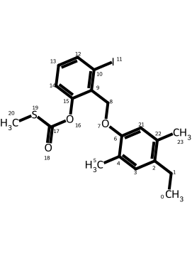 CCc1cc(C)c(OCc2c(I)cccc2OC(=O)SC)cc1C